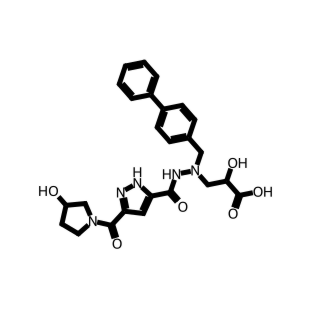 O=C(NN(Cc1ccc(-c2ccccc2)cc1)CC(O)C(=O)O)c1cc(C(=O)N2CCC(O)C2)n[nH]1